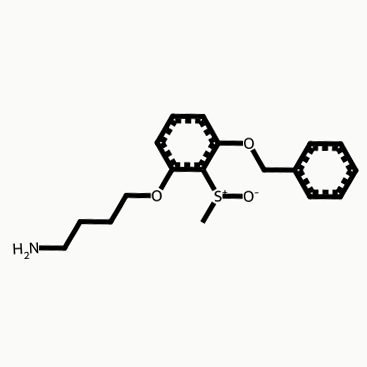 C[S+]([O-])c1c(OCCCCN)cccc1OCc1ccccc1